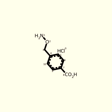 Cl.NOCc1ccc(C(=O)O)cc1